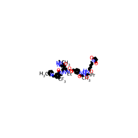 CCN(C(=O)OCc1ccc(NC(=O)[C@H](C)NC(=O)[C@@H](NC(=O)CCCCCN2C(=O)C=CC2=O)C(C)C)cc1)c1cc(C2(Cc3nncn3C)COC2)cc(N2Cc3c(cc(CN4CCC[C@H](C)C4)cc3C(F)(F)F)C2=O)n1